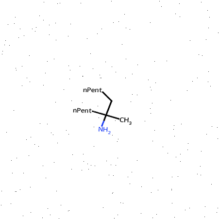 CCCCCCC(C)(N)CCCCC